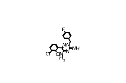 N=c1nc(N)c(-c2cccc(Cl)c2Cl)nn1Cc1ccc(F)cc1